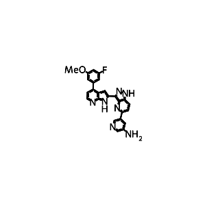 COc1cc(F)cc(-c2ccnc3[nH]c(-c4n[nH]c5ccc(-c6cncc(N)c6)nc45)cc23)c1